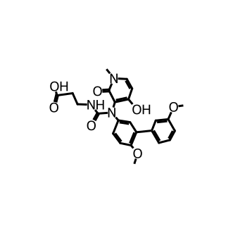 COc1cccc(-c2cc(N(C(=O)NCCC(=O)O)c3c(O)ccn(C)c3=O)ccc2OC)c1